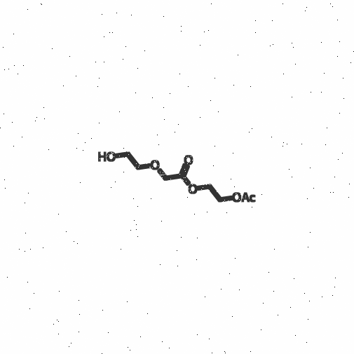 CC(=O)OCCOC(=O)COCCO